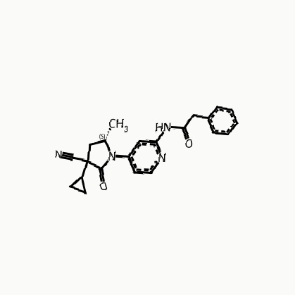 C[C@H]1CC(C#N)(C2CC2)C(=O)N1c1ccnc(NC(=O)Cc2ccccc2)c1